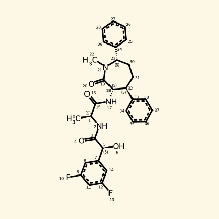 C[C@H](NC(=O)[C@@H](O)c1cc(F)cc(F)c1)C(=O)N[C@@H]1C(=O)N(C)[C@H](c2ccccc2)CC[C@H]1c1ccccc1